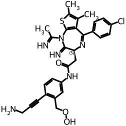 CC(=N)N1C(=N)[C@H](CC(=O)Nc2ccc(C#CCN)c(COO)c2)N=C(c2ccc(Cl)cc2)c2c1sc(C)c2C